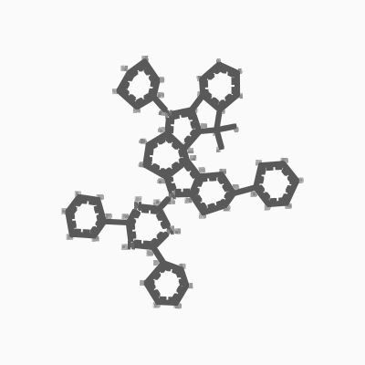 CC1(C)c2ccccc2-c2c1c1c3c4cc(-c5ccccc5)ccc4n(-c4nc(-c5ccccc5)nc(-c5ccccc5)n4)c3ccc1n2-c1ccccc1